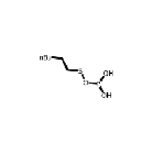 CCCCCCSOP(O)O